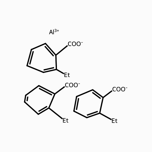 CCc1ccccc1C(=O)[O-].CCc1ccccc1C(=O)[O-].CCc1ccccc1C(=O)[O-].[Al+3]